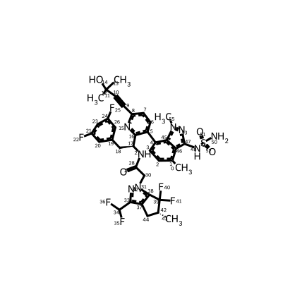 Cc1ccc(-c2ccc(C#CC(C)(C)O)nc2[C@H](Cc2cc(F)cc(F)c2)NC(=O)Cn2nc(C(F)F)c3c2C(F)(F)[C@H](C)C3)c2c1c(NS(N)(=O)=O)nn2C